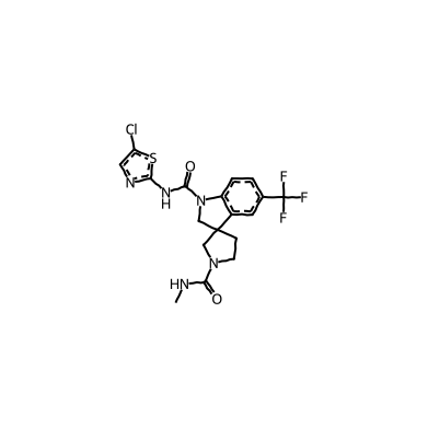 CNC(=O)N1CCC2(C1)CN(C(=O)Nc1ncc(Cl)s1)c1ccc(C(F)(F)F)cc12